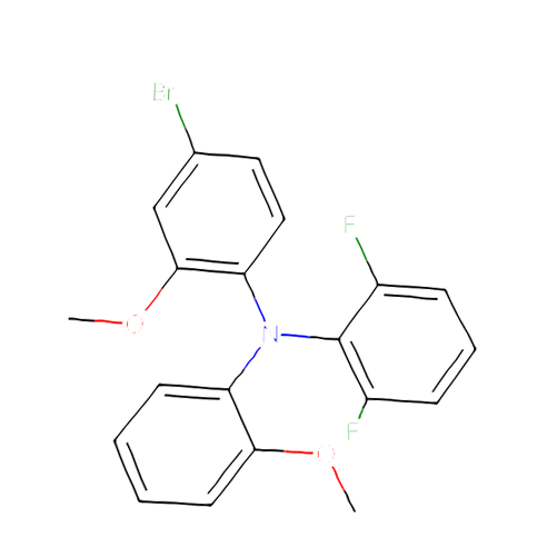 COc1ccccc1N(c1ccc(Br)cc1OC)c1c(F)cccc1F